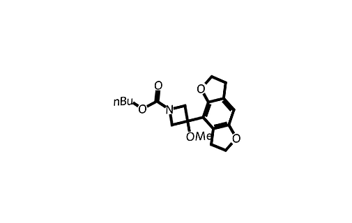 CCCCOC(=O)N1CC(OC)(c2c3c(cc4c2OCC4)OCC3)C1